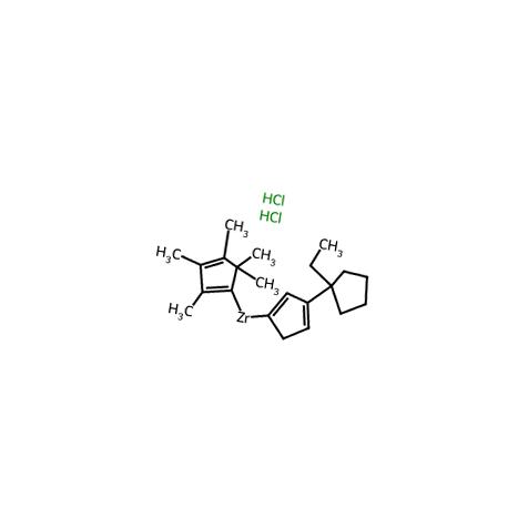 CCC1(C2=CC[C]([Zr][C]3=C(C)C(C)=C(C)C3(C)C)=C2)CCCC1.Cl.Cl